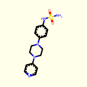 NS(=O)(=O)Nc1ccc(N2CCN(c3ccncc3)CC2)cc1